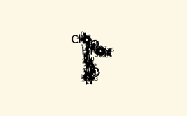 Cc1ccc(N(CCCN2CC3CN(C(=O)c4c(C)ccnc4C)CC3C2)C(=O)Nc2ccc(N(C)C)cc2)cc1Cl